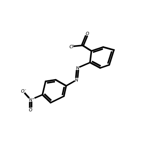 O=C(Cl)c1ccccc1N=Nc1ccc([N+](=O)[O-])cc1